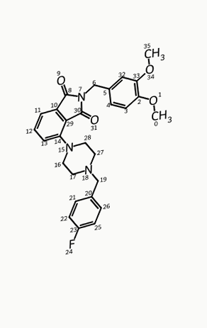 COc1ccc(CN2C(=O)c3cccc(N4CCN(Cc5ccc(F)cc5)CC4)c3C2=O)cc1OC